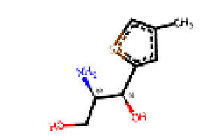 Cc1csc([C@@H](O)[C@H](N)CO)c1